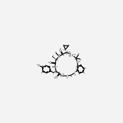 C[C@@H]1C(=O)N[C@H](Cc2ccc(F)cc2)C(=O)NCCCc2ccccc2OC(C)(C)CN[C@@H](C2CC2)C(=O)N1C